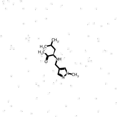 CC(=O)[C@@H](CC(C)C)NCc1cnn(C)c1